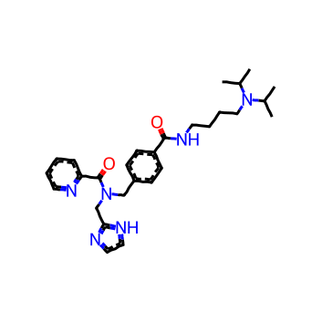 CC(C)N(CCCCNC(=O)c1ccc(CN(Cc2ncc[nH]2)C(=O)c2ccccn2)cc1)C(C)C